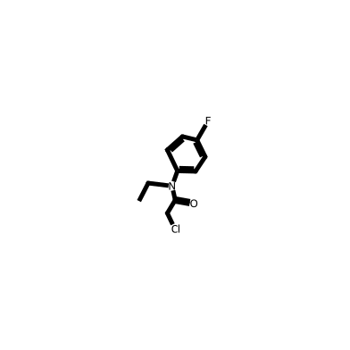 CCN(C(=O)CCl)c1ccc(F)cc1